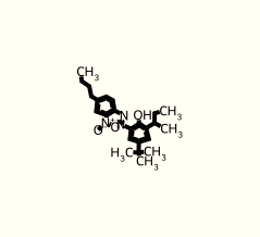 CCCCc1ccc(N=Nc2cc(C(C)(C)C)cc(C(C)CC)c2O)c([N+](=O)[O-])c1